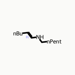 [CH2]CCCCCN/C=C/CCCC